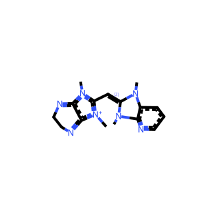 CN1/C(=C/c2n(C)c3c([n+]2C)=NCCN=3)N(C)c2ncccc21